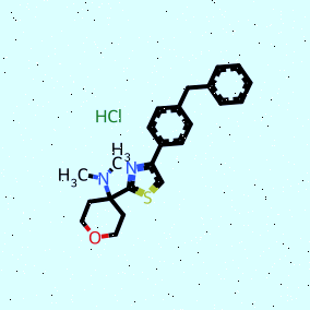 CN(C)C1(c2nc(-c3ccc(Cc4ccccc4)cc3)cs2)CCOCC1.Cl